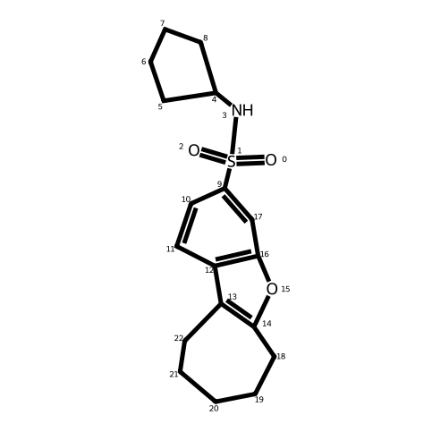 O=S(=O)(NC1CCCC1)c1ccc2c3c(oc2c1)CCCCC3